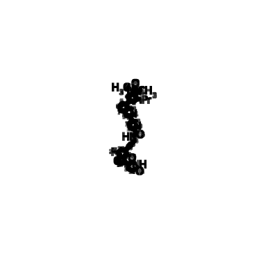 CC(C)c1cc(-c2cccc3cc(-c4ccc(C(=O)NCC#Cc5cc(F)c6occ(C7CCC(=O)NC7=O)c6c5)nc4)ncc23)cc2c1n(C)c(=O)n2C